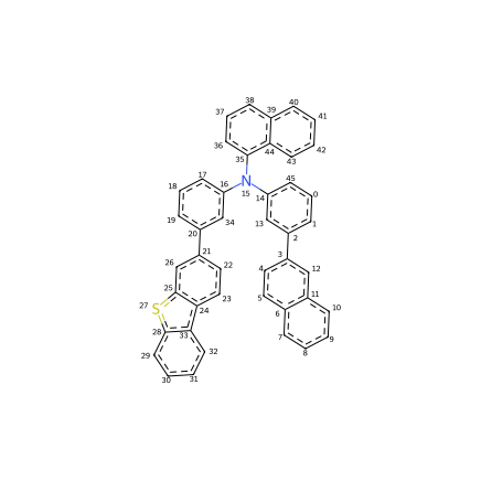 c1cc(-c2ccc3ccccc3c2)cc(N(c2cccc(-c3ccc4c(c3)sc3ccccc34)c2)c2cccc3ccccc23)c1